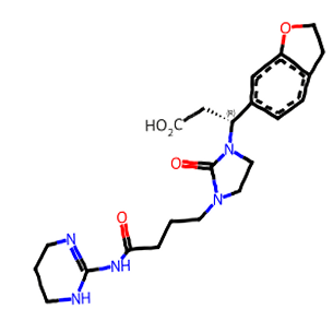 O=C(O)C[C@H](c1ccc2c(c1)OCC2)N1CCN(CCCC(=O)NC2=NCCCN2)C1=O